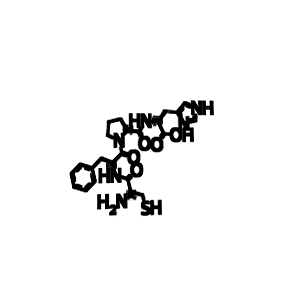 N[C@@H](CS)C(=O)N[C@@H](Cc1ccccc1)C(=O)N1CCC[C@H]1C(=O)N[C@@H](Cc1c[nH]cn1)C(=O)O